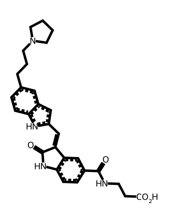 O=C(O)CCNC(=O)c1ccc2c(c1)C(=Cc1cc3cc(CCCN4CCCC4)ccc3[nH]1)C(=O)N2